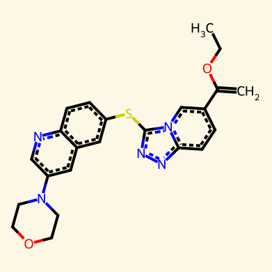 C=C(OCC)c1ccc2nnc(Sc3ccc4ncc(N5CCOCC5)cc4c3)n2c1